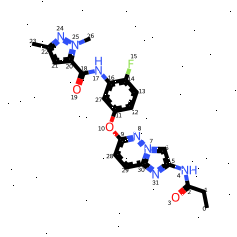 CCC(=O)Nc1cn2nc(Oc3ccc(F)c(NC(=O)c4cc(C)nn4C)c3)ccc2n1